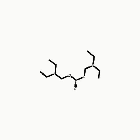 CCN(CC)CO[PH](=O)OCN(CC)CC